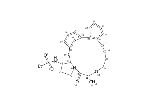 CCS(=O)(=O)NC1CCN2C(=O)[C@@H](C)OCCCOc3ccccc3-c3cccc(c3)CC12